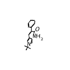 CC(C)(C)n1ccc(C=C(C(N)=O)c2ccccc2)c1